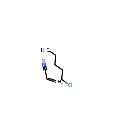 C=CC#N.CCCCCCl